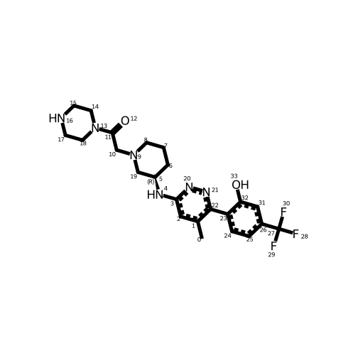 Cc1cc(N[C@@H]2CCCN(CC(=O)N3CCNCC3)C2)nnc1-c1ccc(C(F)(F)F)cc1O